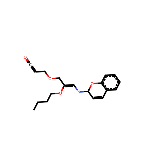 CCCCOC(=CNC1C=Cc2ccccc2O1)COCC=C=O